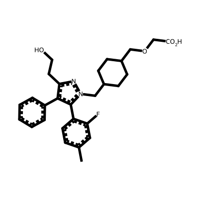 Cc1ccc(-c2c(-c3ccccc3)c(CCO)nn2CC2CCC(COCC(=O)O)CC2)c(F)c1